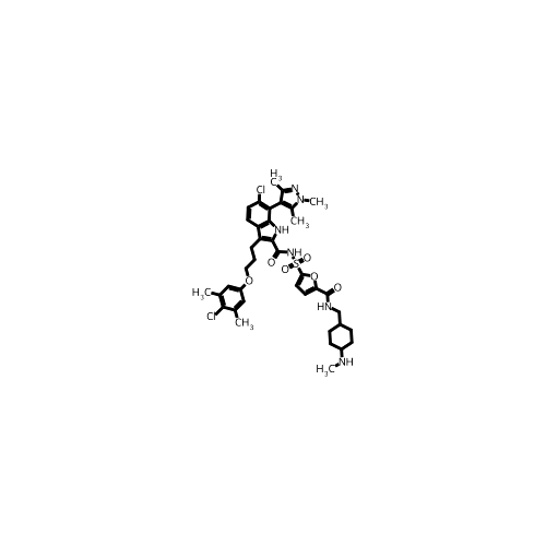 CNC1CCC(CNC(=O)c2ccc(S(=O)(=O)NC(=O)c3[nH]c4c(-c5c(C)nn(C)c5C)c(Cl)ccc4c3CCCOc3cc(C)c(Cl)c(C)c3)o2)CC1